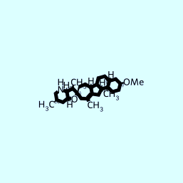 CO[C@H]1CCC2(C)[C@H](CCC3[C@@H]4CC[C@@]5(CC(C)=C4C[C@@H]32)O[C@@H]2C[C@H](C)CN[C@H]2[C@H]5C)C1